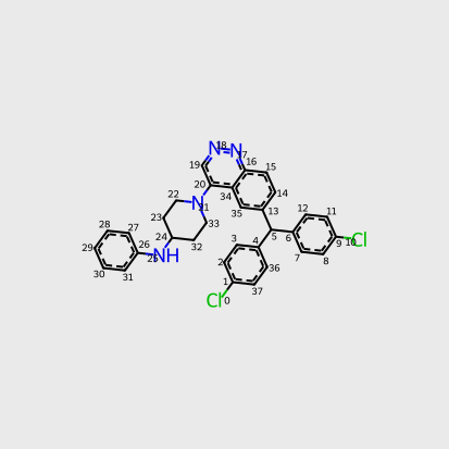 Clc1ccc(C(c2ccc(Cl)cc2)c2ccc3nncc(N4CCC(Nc5ccccc5)CC4)c3c2)cc1